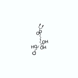 C#CCC(CC#C)COC(=O)CCCC=CC[C@@H]1[C@@H](CC[C@@H](O)CCc2ccccc2)[C@H](O)C[C@H]1O